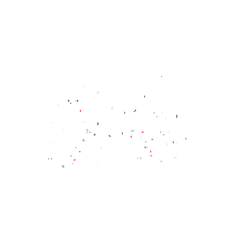 c1ccc(-c2ccccc2N(c2ccccc2)c2cc3cc(-c4ccccc4)c(N(c4ccccc4)c4ccccc4-c4ccccc4)cc3cc2-c2ccccc2)cc1